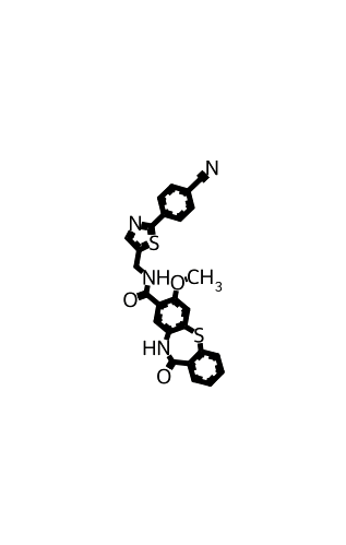 COc1cc2c(cc1C(=O)NCc1cnc(-c3ccc(C#N)cc3)s1)NC(=O)c1ccccc1S2